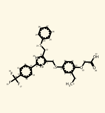 CCc1cc(SCc2sc(-c3ccc(C(F)(F)F)cc3)nc2CSc2ccccc2)ccc1OCC(=O)O